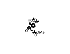 C=C(C)C(=O)OC.C=CC(=O)OC(C)O.C=CN1CCCC1=O.C=Cc1ccccc1